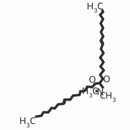 CCCCCCCCC=CCCCCCCCC(=O)C(CN(C)C)C(=O)CCCCCCCC=CCCCCCCCC